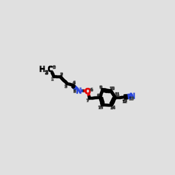 CCCCC=NOCc1ccc(C#N)cc1